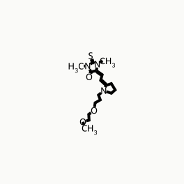 COCCOCCCN1CCC/C1=C\C=C1/C(=O)N(C)C(=S)N1C